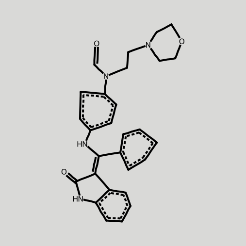 O=CN(CCN1CCOCC1)c1ccc(N/C(=C2\C(=O)Nc3ccccc32)c2ccccc2)cc1